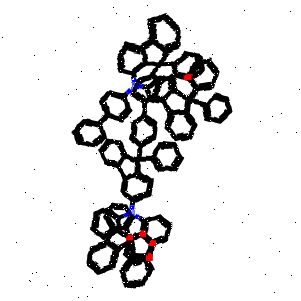 c1ccc(-c2ccc(N(c3ccc4c(c3)-c3ccccc3C4(c3ccccc3)c3ccccc3)c3cccc4c3C3(c5ccccc5-c5cc(-c6ccc(C7(c8ccccc8)c8ccccc8-c8cc(N(c9ccccc9-c9ccccc9)c9cccc%10c9C9(c%11ccccc%11-c%11ccccc%119)c9ccccc9-%10)ccc87)cc6)ccc53)c3ccccc3-4)cc2)cc1